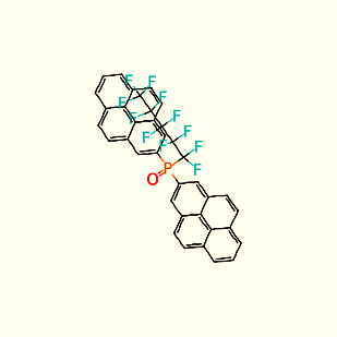 O=P(c1cc2ccc3cccc4ccc(c1)c2c34)(c1cc2ccc3cccc4ccc(c1)c2c34)C(F)(F)C(F)(F)C(F)(F)C(F)(F)C(F)(F)F